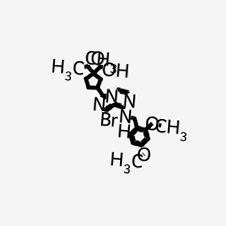 COc1ccc(CNc2nccn3c(C4CCC(C(=O)O)(C(C)C)C4)nc(Br)c23)c(OC)c1